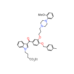 CCOC(=O)CCCn1cc(C(=O)c2ccc(OCc3ccc(C)cc3)c(OCCCN3CCN(c4ccccc4OC)CC3)c2)c2ccccc21